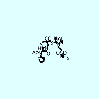 CC(=O)N(c1cccs1)C1C(=O)N2CC(CSc3nnnn3CCS(N)(=O)=O)(C(=O)O)CS[C@H]12